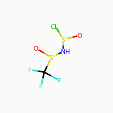 [O-][S+](Cl)N[S+]([O-])C(F)(F)F